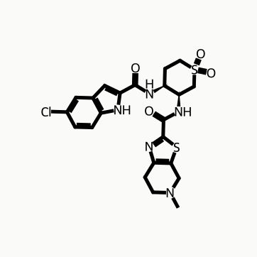 CN1CCc2nc(C(=O)N[C@@H]3CS(=O)(=O)CC[C@@H]3NC(=O)c3cc4cc(Cl)ccc4[nH]3)sc2C1